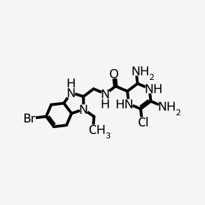 CCN1C(CNC(=O)C2NC(Cl)=C(N)NC2N)NC2CC(Br)=CCC21